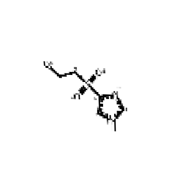 [O]CCS(=O)(=O)c1c[nH]cn1